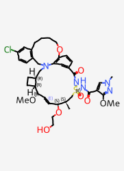 COc1nn(C)cc1C(=O)N[S@@]1(=O)=NC(=O)c2ccc3c(c2)N(Cc2ccc(Cl)cc2CCCCO3)C[C@@H]2CC[C@H]2[C@@H](OC)/C=C/[C@H](OCCO)[C@H](C)C1